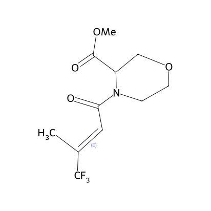 COC(=O)C1COCCN1C(=O)/C=C(\C)C(F)(F)F